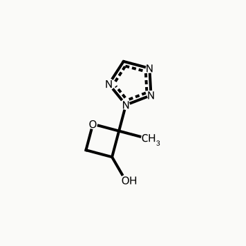 CC1(n2ncnn2)OCC1O